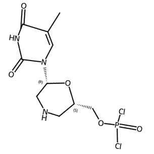 Cc1cn([C@H]2CNC[C@@H](COP(=O)(Cl)Cl)O2)c(=O)[nH]c1=O